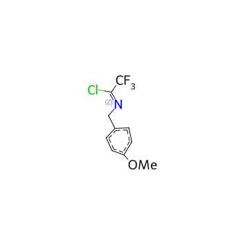 COc1ccc(C/N=C(\Cl)C(F)(F)F)cc1